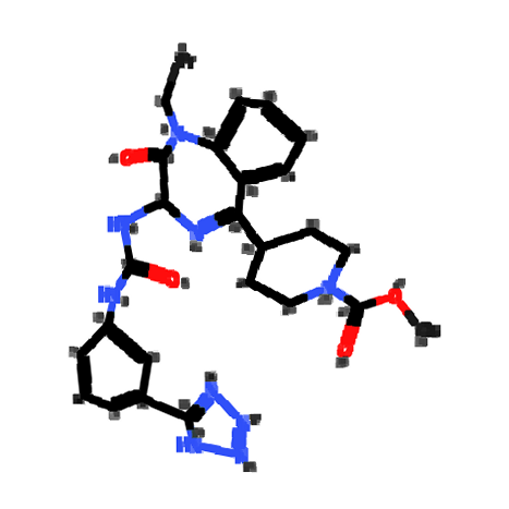 CC(C)CN1C(=O)C(NC(=O)Nc2cccc(-c3nnn[nH]3)c2)N=C(C2CCN(C(=O)OC(C)(C)C)CC2)c2ccccc21